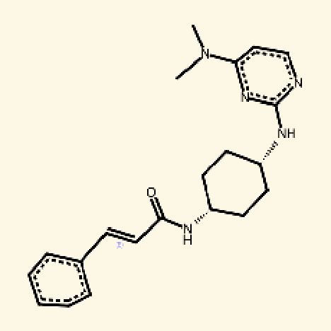 CN(C)c1ccnc(N[C@H]2CC[C@@H](NC(=O)/C=C/c3ccccc3)CC2)n1